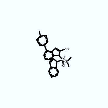 CCCC1=Cc2c(-c3ccc(C)cc3)cccc2[CH]1[Zr]([Cl])([Cl])([CH]1C=Cc2ccccc21)[SiH](C)C